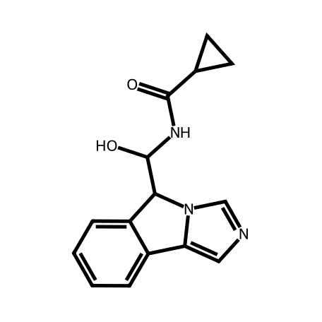 O=C(NC(O)C1c2ccccc2-c2cncn21)C1CC1